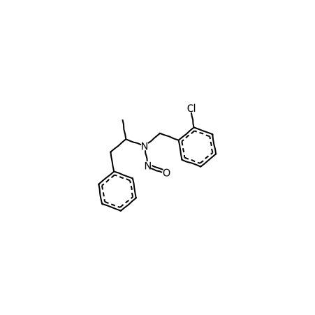 CC(Cc1ccccc1)N(Cc1ccccc1Cl)N=O